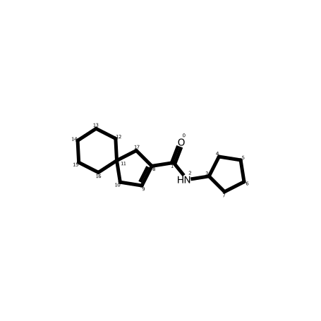 O=C(NC1CCCC1)C1=CCC2(CCCCC2)C1